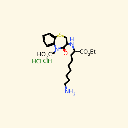 CCOC(=O)[C@@H](CCCCCCCN)NC1CSc2ccccc2N(CC(=O)O)C1=O.Cl.Cl